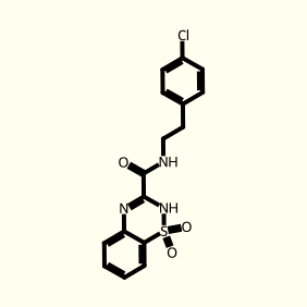 O=C(NCCc1ccc(Cl)cc1)C1=Nc2ccccc2S(=O)(=O)N1